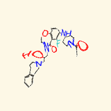 CC(=O)N1CCC(Nc2ccc3c(c2F)C(=O)N(C[C@H](O)CN2CCc4ccccc4C2)CCO3)CC1